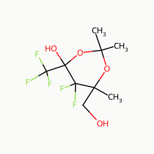 CC1(C)OC(C)(CO)C(F)(F)C(O)(C(F)(F)F)O1